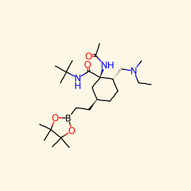 CCN(C)C[C@@H]1CC[C@@H](CCB2OC(C)(C)C(C)(C)O2)C[C@]1(NC(C)=O)C(=O)NC(C)(C)C